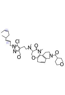 C/C=C\CC(C)/C=C/Cn1nc(C=O)c(CCN(C)C2COC3=C(C4=C(C=CC3)CN(C(=O)C3CCOCC3)CC4)N(C)C2=O)c1Cl